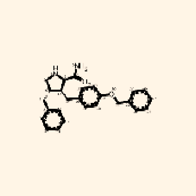 NC(=O)C1NC[C@@H](Cc2ccccc2)[C@@H]1[CH]c1ccc(OCc2ccccc2)cc1